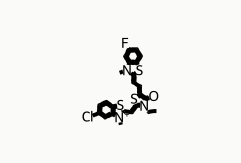 CCn1c(=O)/c(=C/C=C2\Sc3ccc(F)cc3N2C)s/c1=C\c1sc2ccc(Cl)cc2[n+]1C